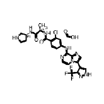 C[C@@H](NC(=O)c1ccc(Nc2nccn3c(-c4c[nH]nc4C(F)(F)F)cnc23)cc1Cl)C(=O)N[C@@H]1CCNC1.O=CO